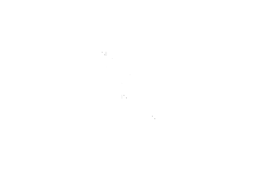 CN(C)CCNC(=O)CC(C)(C)N